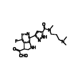 CN(C)CCCN(C)C(=O)c1cc(-c2ncc(F)c3c2NCC3C(=O)C=O)n[nH]1